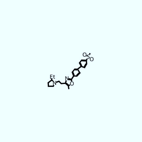 CCC1CCCN1CCc1nc(-c2ccc(-c3ccc(S(C)(=O)=O)cc3)cc2)oc1C